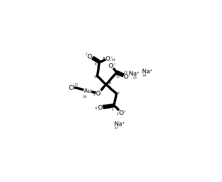 O=C([O-])CC(CC(=O)[O-])([O][Au][Cl])C(=O)[O-].[Na+].[Na+].[Na+]